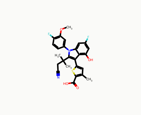 COc1cc(-n2c(C(C)(C)CC#N)c(-c3cc(C)c(C(=O)O)s3)c3c(O)cc(F)cc32)ccc1F